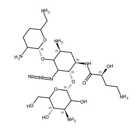 [N-]=[N+]=NC1C(O[C@H]2OC(CN)CCC2N)[C@@H](N)C[C@@H](NC(=O)[C@@H](O)CCN)[C@@H]1O[C@H]1OC(CO)[C@@H](O)[C@H](N)C1O